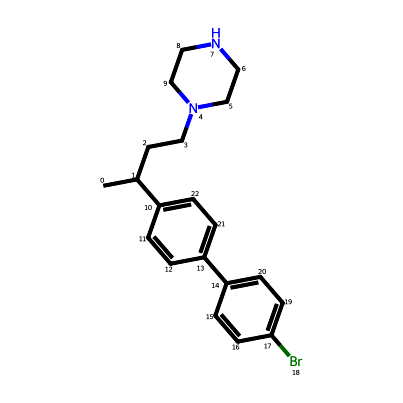 CC(CCN1CCNCC1)c1ccc(-c2ccc(Br)cc2)cc1